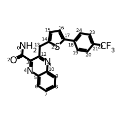 NC(=O)c1nc2ccccc2nc1Cc1ccc(-c2ccc(C(F)(F)F)cc2)s1